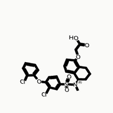 CN([C@@H]1CCCc2c(OCC(=O)O)cccc21)S(=O)(=O)c1ccc(Oc2ccccc2Cl)c(Cl)c1